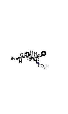 CC(C)CCNC(=O)Cn1cccc(NC(=O)C(CC/C=C/C(=O)O)NC(=O)OCc2ccccc2)c1=O